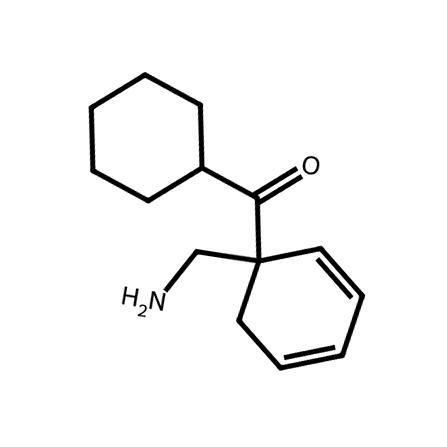 NCC1(C(=O)C2CCCCC2)C=CC=CC1